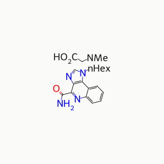 CCCCCCn1cnc2c(C(N)=O)nc3ccccc3c21.CNCC(=O)O